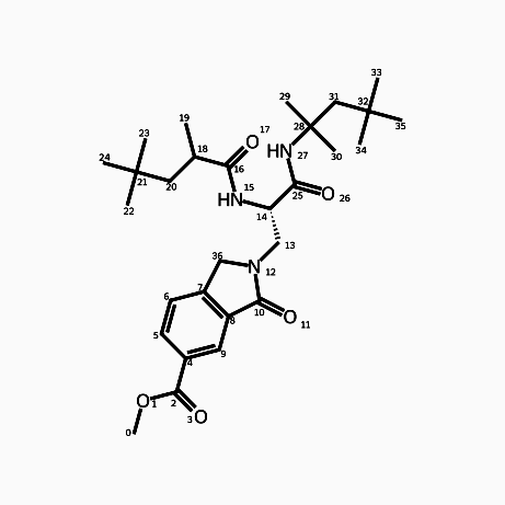 COC(=O)c1ccc2c(c1)C(=O)N(C[C@H](NC(=O)C(C)CC(C)(C)C)C(=O)NC(C)(C)CC(C)(C)C)C2